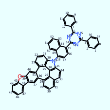 c1ccc(-c2nc(-c3ccccc3)nc(-c3ccc(-n4c5cccc6c5c5c7c(cccc7ccc54)-c4cc5c(cc4-6)oc4ccccc45)c4ccccc34)n2)cc1